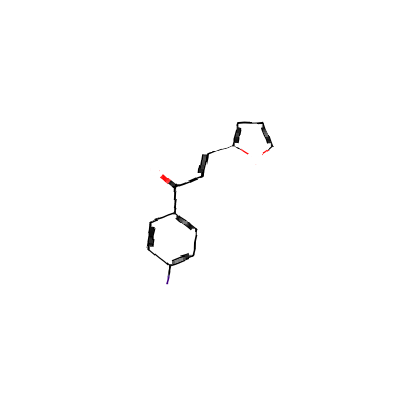 O=C(C=Cc1ccco1)c1ccc(I)cc1